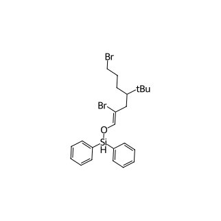 CC(C)(C)C(CCCBr)CC(Br)=CO[SiH](c1ccccc1)c1ccccc1